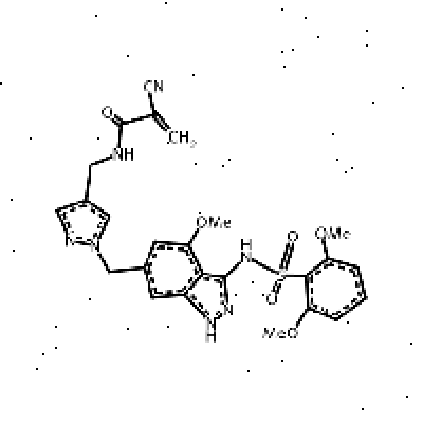 C=C(C#N)C(=O)NCc1cnn(Cc2cc(OC)c3c(NS(=O)(=O)c4c(OC)cccc4OC)n[nH]c3c2)c1